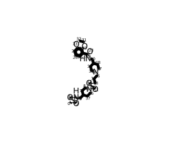 CS(=O)(=O)NCC1CCN(S(=O)(=O)CCCN2CCC(CNC(=O)c3cccc4c3OCCO4)CC2)CC1